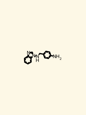 Nc1ccc(CNn2cnc3ccccc32)cc1